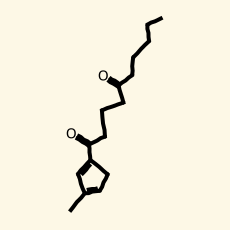 CCCCCC(=O)CCCC(=O)C1=CC(C)=CC1